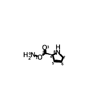 NOC(=O)[C@@H]1C=CCN1